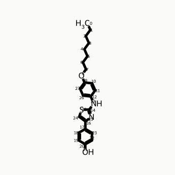 CCCCCCCCOc1ccc(Nc2nc(-c3ccc(O)cc3)cs2)cc1